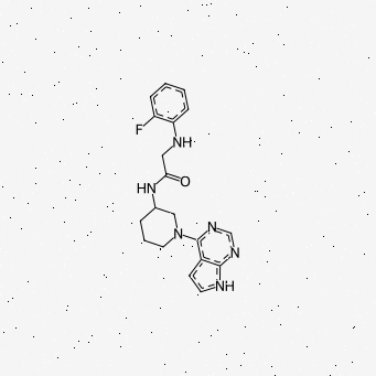 O=C(CNc1ccccc1F)NC1CCCN(c2ncnc3[nH]ccc23)C1